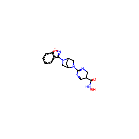 O=C(NO)C1C=NC(N2CC3CC2CN3c2noc3ccccc23)=NC1